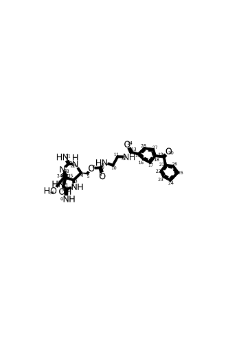 N=C1NC2[C@H](COC(=O)NCCNC(=O)c3ccc(C(=O)c4ccccc4)cc3)NC(=N)N3CCC(O)(O)C23N1